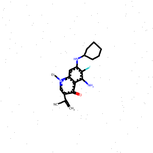 C=C(C#N)c1cn(CC)c2cc(NC3CCCCC3)c(F)c(N)c2c1=O